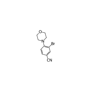 N#Cc1ccc(N2CCOCC2)c(Br)c1